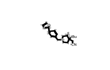 CC(C)(C)C1(CC#N)CCN(Cc2ccc(-c3ncco3)cc2)CC1F